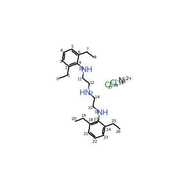 CCc1cccc(CC)c1NCCNCCNc1c(CC)cccc1CC.[Cl-].[Cl-].[Ni+2]